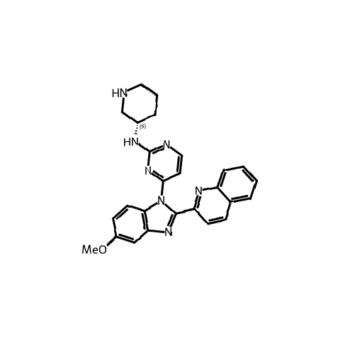 COc1ccc2c(c1)nc(-c1ccc3ccccc3n1)n2-c1ccnc(N[C@H]2CCCNC2)n1